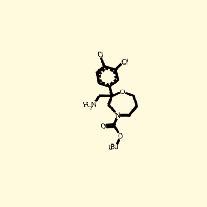 CC(C)(C)OC(=O)N1CCCOC(CN)(c2ccc(Cl)c(Cl)c2)C1